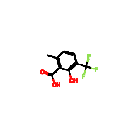 Cc1ccc(C(F)(F)F)c(O)c1C(=O)O